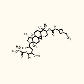 COC(C[C@@H](C)[C@H]1C[C@H](O)[C@@]2(C)C3CCC4C(C)(C)[C@@H](OC(=O)NC5CN(CC(F)(F)F)C5)CC[C@@]45CC35CC[C@]12C)[C@H](OC(=O)N(C)C)C(C)C